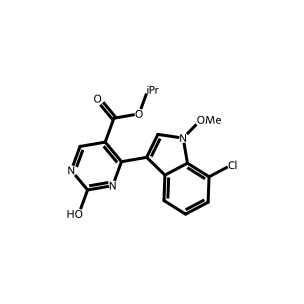 COn1cc(-c2nc(O)ncc2C(=O)OC(C)C)c2cccc(Cl)c21